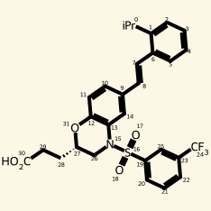 CC(C)c1ccccc1/C=C/c1ccc2c(c1)N(S(=O)(=O)c1cccc(C(F)(F)F)c1)C[C@H](CCC(=O)O)O2